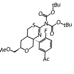 COC[C@H]1CC2CSC(N(C(=O)OC(C)(C)C)C(=O)OC(C)(C)C)=N[C@@]2(c2cc(C(C)=O)ccc2F)CO1